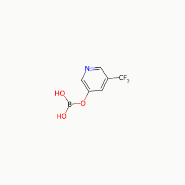 OB(O)Oc1cncc(C(F)(F)F)c1